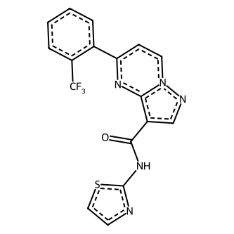 O=C(Nc1nccs1)c1cnn2ccc(-c3ccccc3C(F)(F)F)nc12